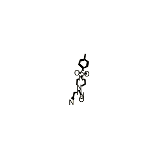 Cc1ccc(S(=O)(=O)N2CCN(N(CC#N)N=O)CC2)cc1